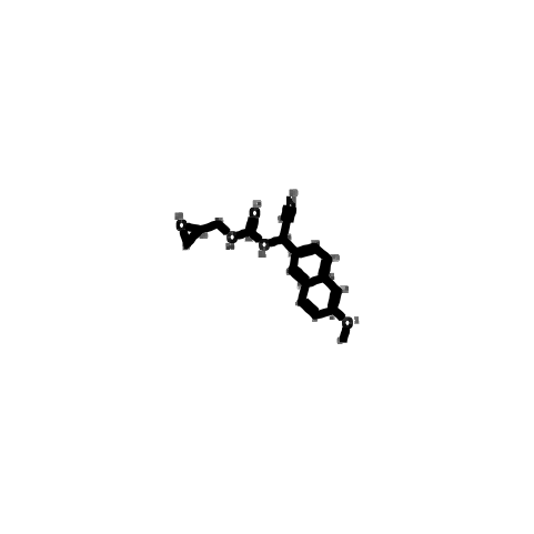 COc1ccc2cc(C(C#N)OC(=O)OCC3CO3)ccc2c1